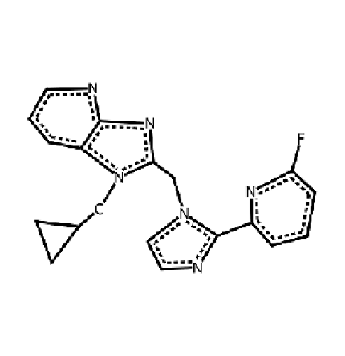 Fc1cccc(-c2nccn2Cc2nc3ncccc3n2CC2CC2)n1